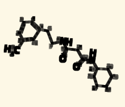 Cc1cccc(CCNC(=O)CC(=O)NC2CCCCC2)c1